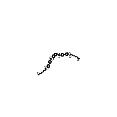 O=C(CCCCCC1CO1)Oc1ccc(-c2ccc(C(=O)Oc3ccc4ccc(OC(=O)c5ccc(-c6ccc(OC(=O)CCCCCC7CO7)cc6)cc5)cc4c3)cc2)cc1